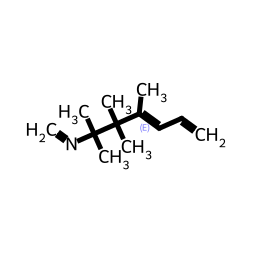 C=C/C=C(\C)C(C)(C)C(C)(C)N=C